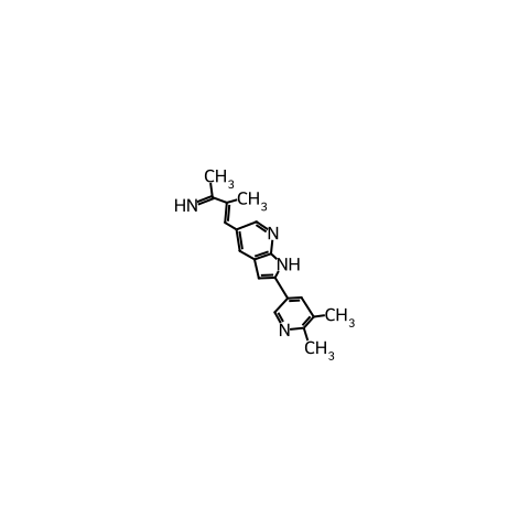 CC(=N)/C(C)=C/c1cnc2[nH]c(-c3cnc(C)c(C)c3)cc2c1